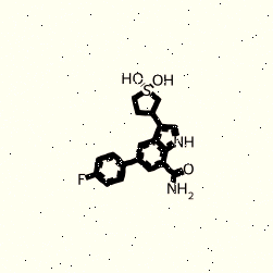 NC(=O)c1cc(-c2ccc(F)cc2)cc2c(C3CCS(O)(O)C3)c[nH]c12